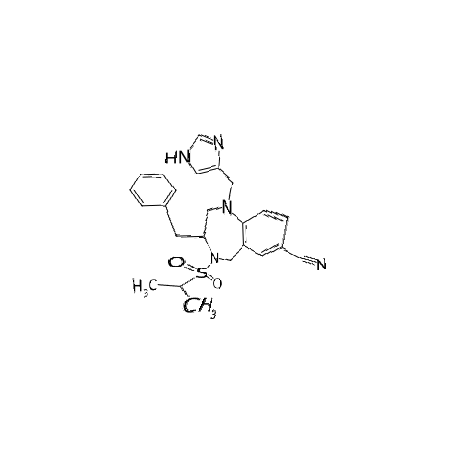 CC(C)S(=O)(=O)N1Cc2cc(C#N)ccc2N(Cc2c[nH]cn2)CC1Cc1ccccc1